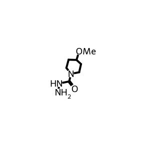 COC1CCN(C(=O)NN)CC1